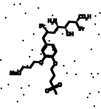 COCCCOc1cc(C[C@@H](C[C@H](N)[C@@H](O)C[C@H](C(=O)O)C(C)C)C(C)C)ccc1OCCCS(C)(=O)=O